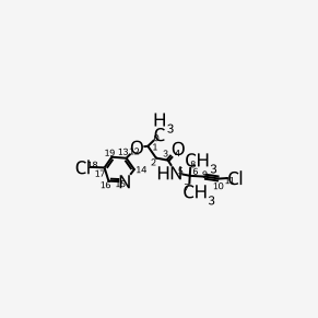 CC(CC(=O)NC(C)(C)C#CCl)Oc1cncc(Cl)c1